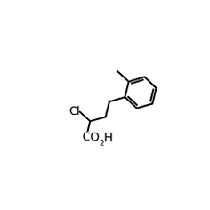 Cc1ccccc1CCC(Cl)C(=O)O